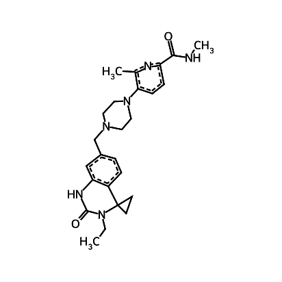 CCN1C(=O)Nc2cc(CN3CCN(c4ccc(C(=O)NC)nc4C)CC3)ccc2C12CC2